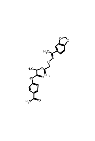 C=C(CO/N=C(\C)c1ccc2c(c1)OCO2)OC(C)C(=O)Nc1ccc(C(N)=O)cc1